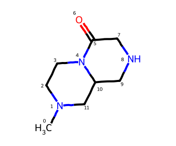 CN1CCN2C(=O)CNCC2C1